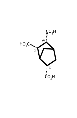 O=C(O)[C@H]1CC2CC1[C@H](C(=O)O)[C@@H]2C(=O)O